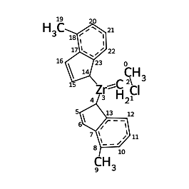 CCl.[CH2]=[Zr]([CH]1C=Cc2c(C)cccc21)[CH]1C=Cc2c(C)cccc21